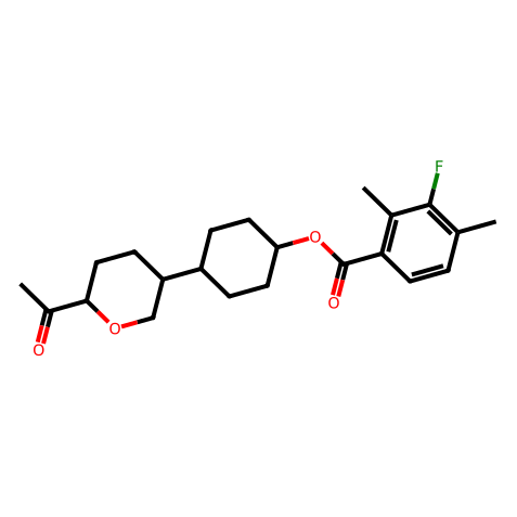 CC(=O)C1CCC(C2CCC(OC(=O)c3ccc(C)c(F)c3C)CC2)CO1